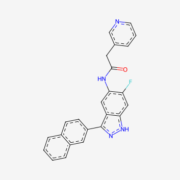 O=C(Cc1cccnc1)Nc1cc2c(-c3ccc4ccccc4c3)n[nH]c2cc1F